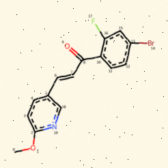 COc1ccc(/C=C/C(=O)c2ccc(Br)cc2F)cn1